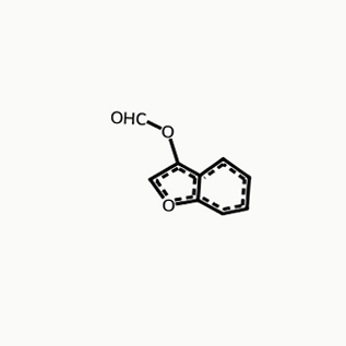 O=COc1coc2ccccc12